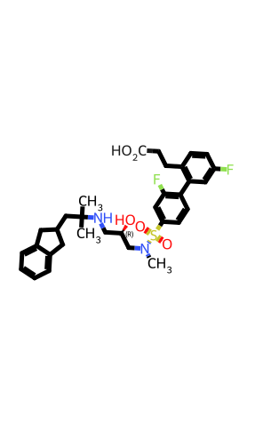 CN(C[C@H](O)CNC(C)(C)CC1Cc2ccccc2C1)S(=O)(=O)c1ccc(-c2cc(F)ccc2CCC(=O)O)c(F)c1